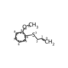 C=CCSc1ccccc1OC